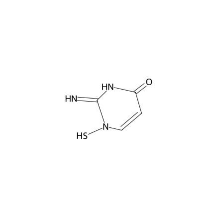 N=c1[nH]c(=O)ccn1S